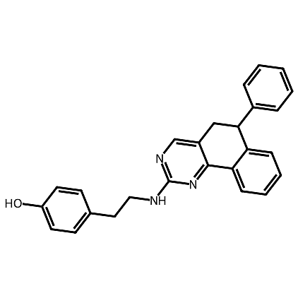 Oc1ccc(CCNc2ncc3c(n2)-c2ccccc2C(c2ccccc2)C3)cc1